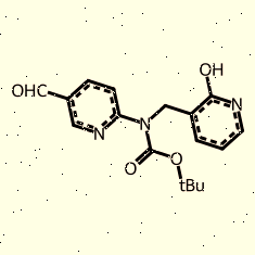 CC(C)(C)OC(=O)N(Cc1cccnc1O)c1ccc(C=O)cn1